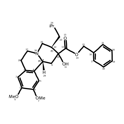 COc1cc2c(cc1OC)[C@H]1CC(O)(C(=O)OCc3ccccc3)[C@H](CC(C)C)CN1CC2